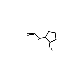 CC1CCCC1OC=O